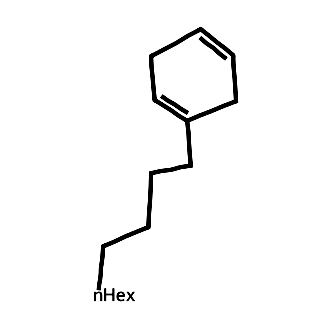 CCCCCCCCCCC1=CCC=CC1